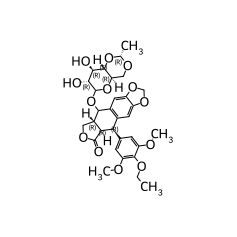 CCOc1c(OC)cc([C@@H]2c3cc4c(cc3C(OC3O[C@@H]5CO[C@@H](C)O[C@H]5[C@H](O)[C@H]3O)[C@H]3COC(=O)[C@H]23)OCO4)cc1OC